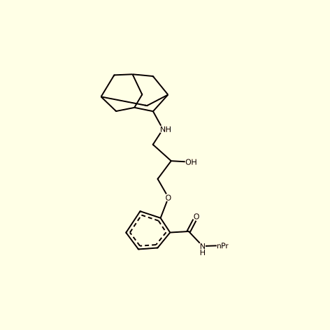 CCCNC(=O)c1ccccc1OCC(O)CNC1C2CC3CC(C2)CC1C3